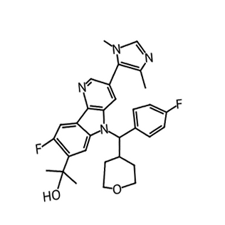 Cc1ncn(C)c1-c1cnc2c3cc(F)c(C(C)(C)O)cc3n(C(c3ccc(F)cc3)C3CCOCC3)c2c1